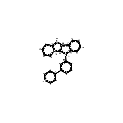 c1cc(-c2ccncc2)cc(-n2c3ccccc3c3nc4ccccn4c32)c1